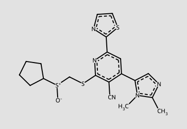 Cc1ncc(-c2cc(-c3nccs3)nc(SC[S+]([O-])C3CCCC3)c2C#N)n1C